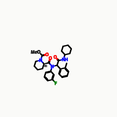 COC(=O)N1CCCC[C@@H]1C(=O)N(c1cccc(F)c1)C(C(=O)NC1CCCCC1)c1ccccc1C